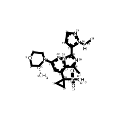 C[C@@H]1COCCN1c1cc(C2(S(C)(=O)=O)CC2)c2c(I)nc(-c3ccnn3PI)n2n1